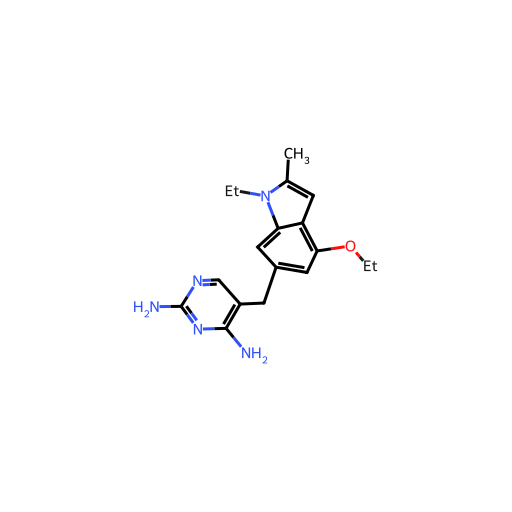 CCOc1cc(Cc2cnc(N)nc2N)cc2c1cc(C)n2CC